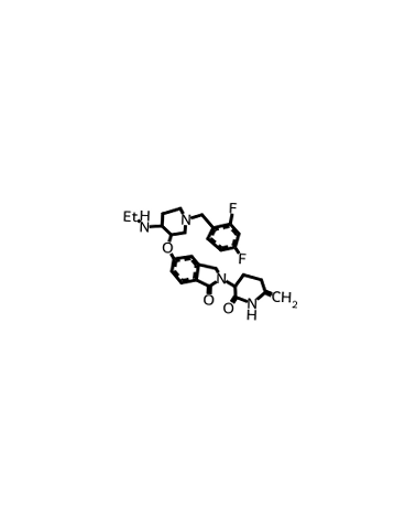 C=C1CCC(N2Cc3cc(OC4CN(Cc5ccc(F)cc5F)CCC4NCC)ccc3C2=O)C(=O)N1